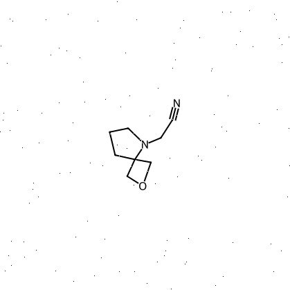 N#CCN1CCCC12COC2